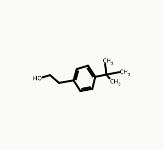 CC(C)(C)c1ccc(C[CH]O)cc1